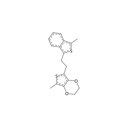 Cc1sc(CCc2sc(C)c3ccccc23)c2c1OCCO2